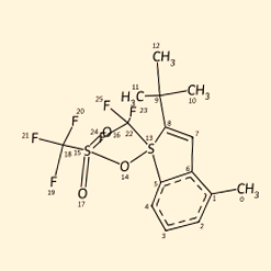 Cc1cccc2c1C=C(C(C)(C)C)S2(OS(=O)(=O)C(F)(F)F)C(F)(F)F